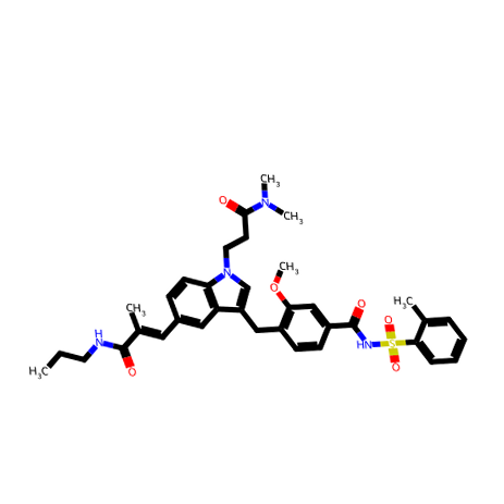 CCCNC(=O)/C(C)=C/c1ccc2c(c1)c(Cc1ccc(C(=O)NS(=O)(=O)c3ccccc3C)cc1OC)cn2CCC(=O)N(C)C